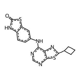 O=c1[nH]c2ccc(Nc3ncnc4sc(C5CCC5)nc34)cc2s1